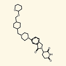 O=C1CCC(N2Cc3ccc(N4CCN(CC5CCC(COC6CCCCO6)CC5)CC4)cc3C2=O)C(=O)N1